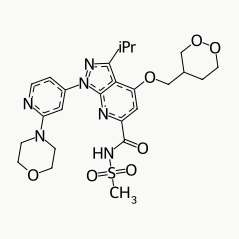 CC(C)c1nn(-c2ccnc(N3CCOCC3)c2)c2nc(C(=O)NS(C)(=O)=O)cc(OCC3CCOOC3)c12